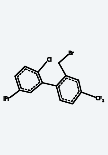 CC(C)c1ccc(Cl)c(-c2ccc(C(F)(F)F)cc2CBr)c1